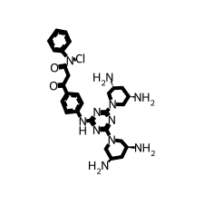 N[C@@H]1C[C@H](N)CN(c2nc(Nc3ccc(C(=O)CC(=O)N(Cl)c4ccccc4)cc3)nc(N3C[C@H](N)C[C@H](N)C3)n2)C1